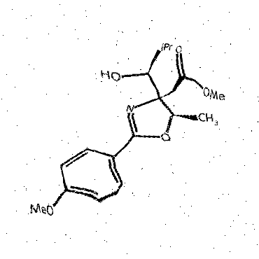 COC(=O)[C@]1([C@@H](O)C(C)C)N=C(c2ccc(OC)cc2)O[C@@H]1C